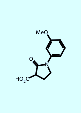 COc1cccc(N2CCC(C(=O)O)C2=O)c1